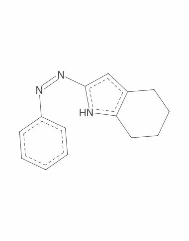 c1ccc(/N=N\c2cc3c([nH]2)CCCC3)cc1